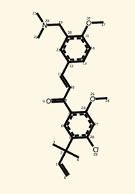 C=CC(C)(C)c1cc(C(=O)C=Cc2ccc(OC)c(CN(C)C)c2)c(OC)cc1Cl